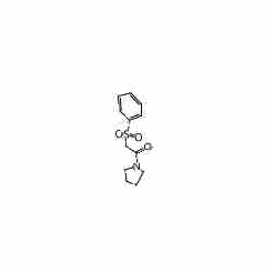 O=C(CS(=O)(=O)c1ccccc1)N1CCCC1